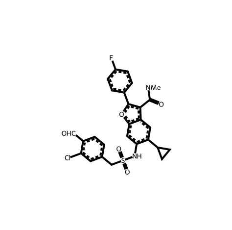 CNC(=O)c1c(-c2ccc(F)cc2)oc2cc(NS(=O)(=O)Cc3ccc(C=O)c(Cl)c3)c(C3CC3)cc12